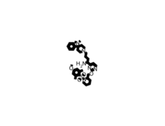 COc1cc(C)c(S(=O)(=O)N2CCCCC2COc2nccc(C(N)CCCN3CCC(c4ccccc4)(N(C)C)CC3)n2)c(C)c1